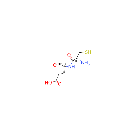 N[C@@H](CS)C(=O)N[C@H]([C]=O)CCC(=O)O